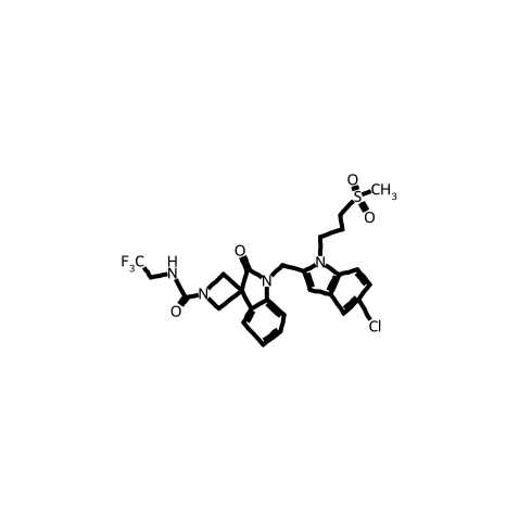 CS(=O)(=O)CCCn1c(CN2C(=O)C3(CN(C(=O)NCC(F)(F)F)C3)c3ccccc32)cc2cc(Cl)ccc21